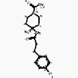 N#CC1(NC(=O)[CH]Cc2ccc(Cl)cc2)CCN(C(N)=O)CC1